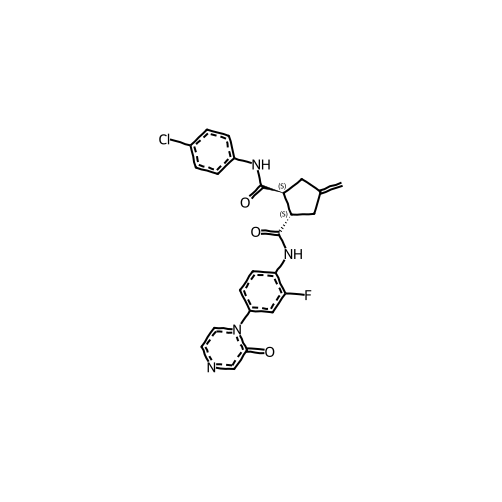 C=C1C[C@H](C(=O)Nc2ccc(Cl)cc2)[C@@H](C(=O)Nc2ccc(-n3ccncc3=O)cc2F)C1